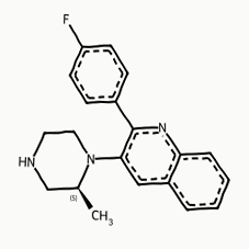 C[C@H]1CNCCN1c1cc2ccccc2nc1-c1ccc(F)cc1